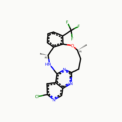 C[C@@H]1CCc2nc(c3cc(Cl)ncc3n2)N[C@H](C)c2cccc(C(F)(F)F)c2O1